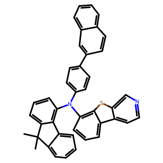 CC1(C)c2ccccc2-c2c(N(c3ccc(-c4ccc5ccccc5c4)cc3)c3cccc4c3sc3cnccc34)cccc21